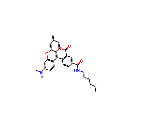 C=c1ccc2c(c1)Oc1cc(N(C)C)ccc1C=2c1ccc(C(=O)NCCCCCC)cc1C(=O)O